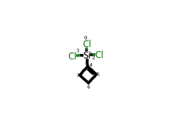 Cl[Si](Cl)(Cl)C1=CCC1